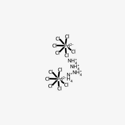 [Cl][Pd-2]([Cl])([Cl])([Cl])([Cl])[Cl].[Cl][Pd-2]([Cl])([Cl])([Cl])([Cl])[Cl].[NH4+].[NH4+].[NH4+].[NH4+]